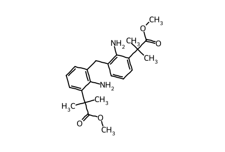 COC(=O)C(C)(C)c1cccc(Cc2cccc(C(C)(C)C(=O)OC)c2N)c1N